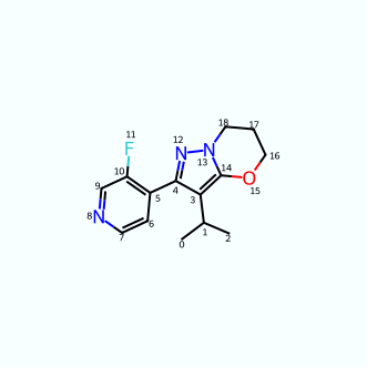 CC(C)c1c(-c2ccncc2F)nn2c1OCCC2